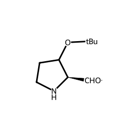 CC(C)(C)OC1CCN[C@@H]1[C]=O